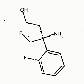 NC(CF)(CCO)c1ccccc1F